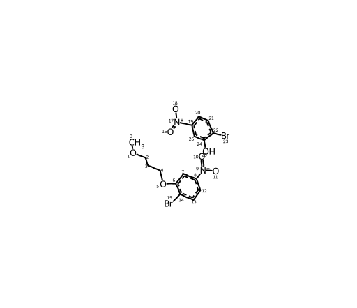 COCCCOc1cc([N+](=O)[O-])ccc1Br.O=[N+]([O-])c1ccc(Br)c(O)c1